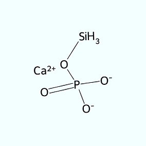 O=P([O-])([O-])O[SiH3].[Ca+2]